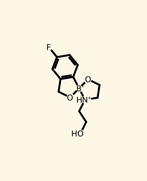 OCC[NH+]1CCO[B-]12OCc1cc(F)ccc12